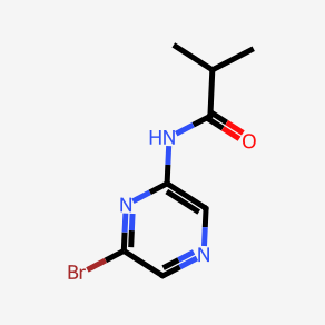 CC(C)C(=O)Nc1cncc(Br)n1